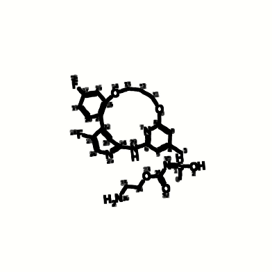 C[SH](O)(Cc1cc2nc(c1)OCCCOc1cc(F)ccc1-c1cc(ncc1F)N2)=NC(=O)OCCN